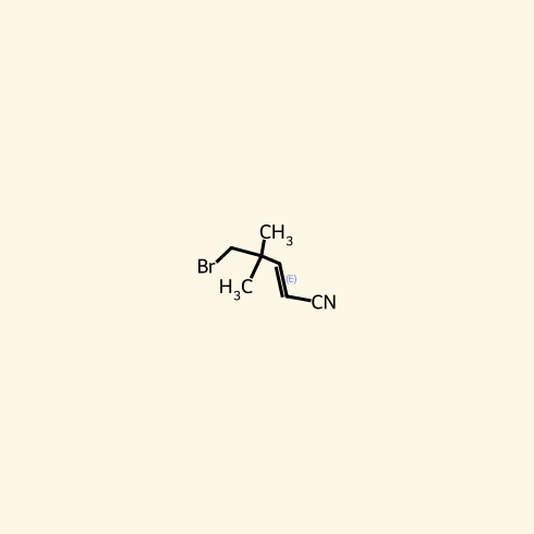 CC(C)(/C=C/C#N)CBr